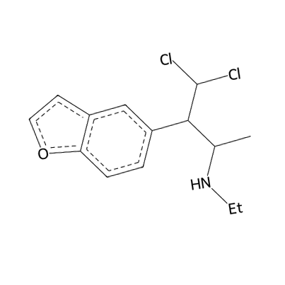 CCNC(C)C(c1ccc2occc2c1)C(Cl)Cl